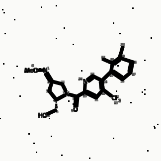 CO/N=C1\C[C@@H](CO)N(C(=O)c2cc(C(F)(F)F)c(-c3cccc(C)c3C)cn2)C1